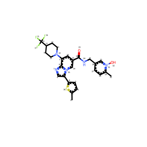 Cc1ccc(-c2cnc3c(N4CCC(C(F)(F)F)CC4)cc(C(=O)NCc4ccc(C)[n+](O)c4)cn23)s1